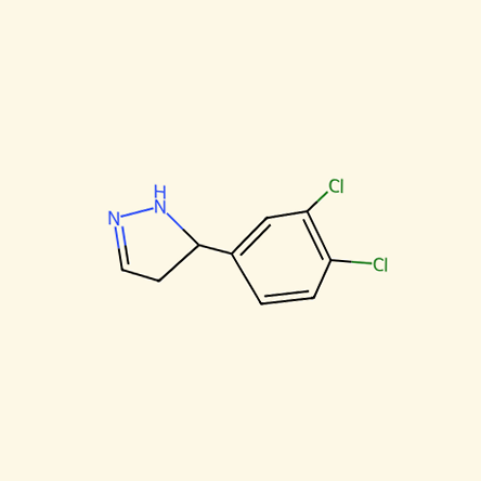 Clc1ccc(C2CC=NN2)cc1Cl